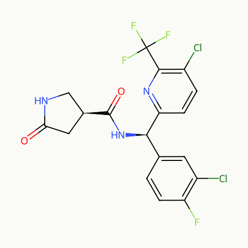 O=C1C[C@H](C(=O)N[C@H](c2ccc(F)c(Cl)c2)c2ccc(Cl)c(C(F)(F)F)n2)CN1